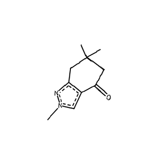 Cn1cc2c(n1)CC(C)(C)CC2=O